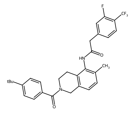 Cc1ccc2c(c1NC(=O)Cc1ccc(C(F)(F)F)c(F)c1)CCN(C(=O)c1ccc(C(C)(C)C)cc1)C2